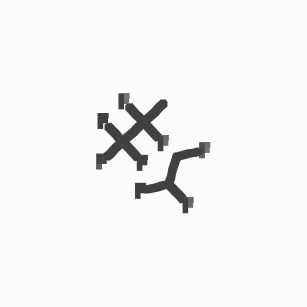 CC(F)(F)C(F)(F)F.FCC(F)F